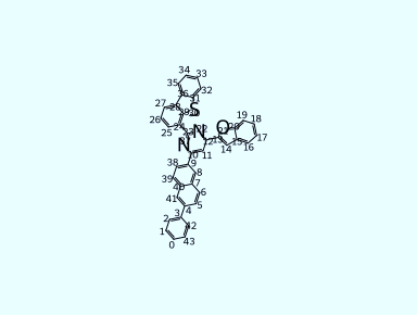 c1ccc(-c2ccc3cc(-c4cc(-c5cc6ccccc6o5)nc(-c5cccc6c5sc5ccccc56)n4)ccc3c2)cc1